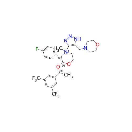 C[C@@H](O[C@H]1OCC[N+](C)(c2nn[nH]c2CN2CCOCC2)[C@H]1c1ccc(F)cc1)c1cc(C(F)(F)F)cc(C(F)(F)F)c1